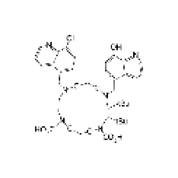 CC(C)(C)C1C(C(C)(C)C)N(C(=O)O)CCCN(C(=O)O)CCN(Cc2ccc(O)c3ncccc23)CCCN1Cc1ccc(O)c2ncccc12